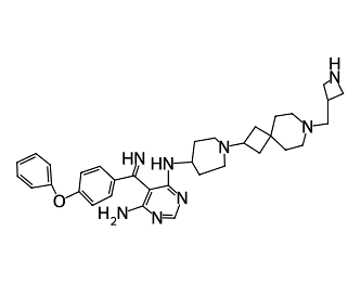 N=C(c1ccc(Oc2ccccc2)cc1)c1c(N)ncnc1NC1CCN(C2CC3(CCN(CC4CNC4)CC3)C2)CC1